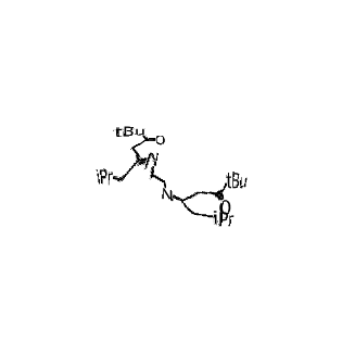 CC(C)C/C(CC(=O)C(C)(C)C)=N/CC/N=C(/CC(=O)C(C)(C)C)CC(C)C